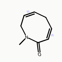 CN1C/C=C\C/C=C\C1=O